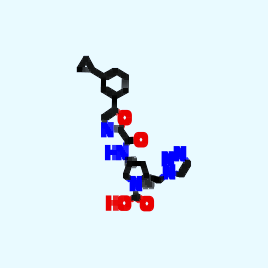 O=C(N[C@@H]1C[C@@H](Cn2ccnn2)N(C(=O)O)C1)c1ncc(-c2cccc(C3CC3)c2)o1